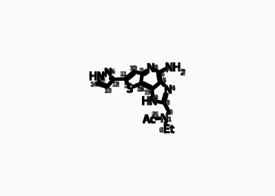 CCN(Cc1nc2c(N)nc3cc(-c4cc[nH]n4)sc3c2[nH]1)C(C)=O